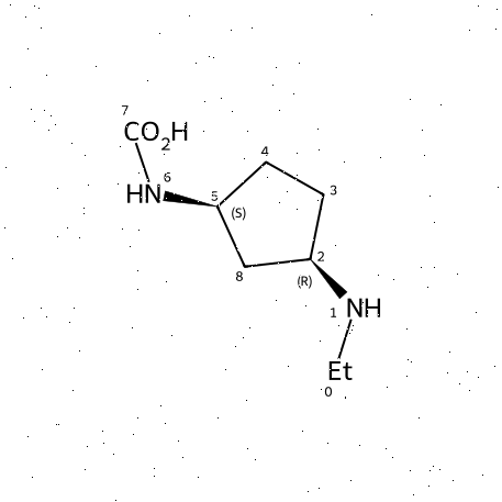 CCN[C@@H]1CC[C@H](NC(=O)O)C1